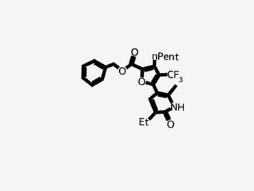 CCCCCc1c(C(=O)OCc2ccccc2)oc(-c2cc(CC)c(=O)[nH]c2C)c1C(F)(F)F